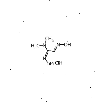 CCC/N=C(\C=N\O)N(C)C.Cl